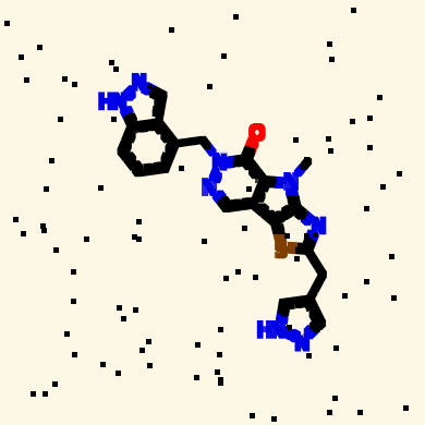 Cn1c2nc(Cc3cn[nH]c3)sc2c2cnn(Cc3cccc4[nH]ncc34)c(=O)c21